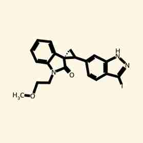 COCCN1C(=O)[C@@]2(CC2c2ccc3c(I)n[nH]c3c2)c2ccccc21